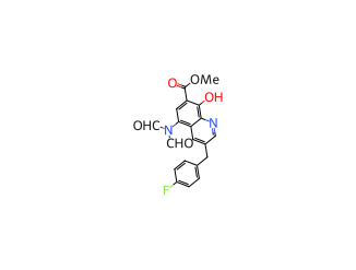 COC(=O)c1cc(N(C=O)C=O)c2cc(Cc3ccc(F)cc3)cnc2c1O